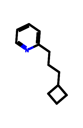 c1ccc(CCCC2CCC2)nc1